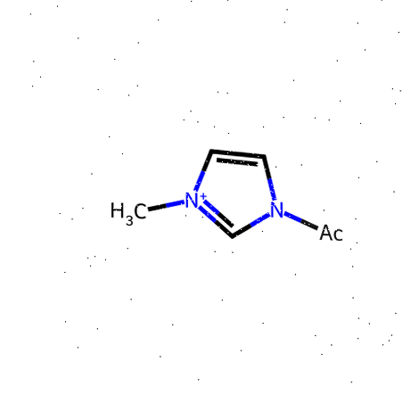 CC(=O)n1cc[n+](C)c1